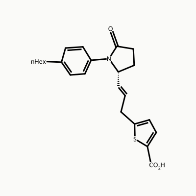 CCCCCCc1ccc(N2C(=O)CC[C@@H]2C=CCc2ccc(C(=O)O)s2)cc1